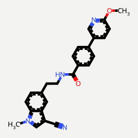 COc1ccc(-c2ccc(C(=O)NCCc3ccc4c(c3)c(C#N)cn4C)cc2)cn1